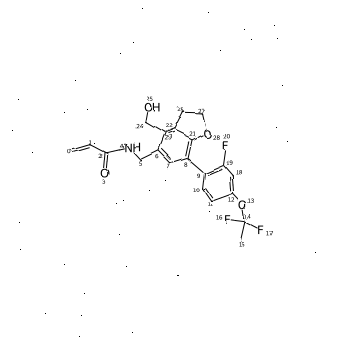 C=CC(=O)NCc1cc(-c2ccc(OC(C)(F)F)cc2F)c2c(c1CO)CCO2